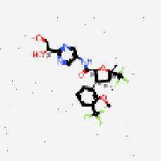 COc1c([C@@H]2[C@@H](C(=O)Nc3cnc([C@H](O)CO)nc3)O[C@](C)(C(F)(F)F)[C@@H]2C)cccc1C(F)(F)F